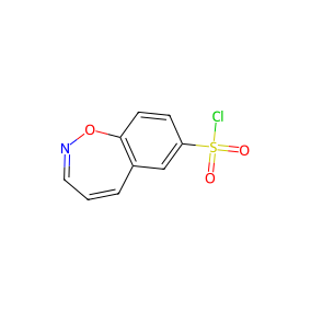 O=S(=O)(Cl)c1ccc2c(c1)C=CC=NO2